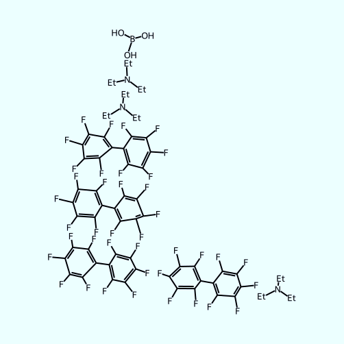 CCN(CC)CC.CCN(CC)CC.CCN(CC)CC.Fc1c(F)c(F)c(-c2c(F)c(F)c(F)c(F)c2F)c(F)c1F.Fc1c(F)c(F)c(-c2c(F)c(F)c(F)c(F)c2F)c(F)c1F.Fc1c(F)c(F)c(-c2c(F)c(F)c(F)c(F)c2F)c(F)c1F.Fc1c(F)c(F)c(-c2c(F)c(F)c(F)c(F)c2F)c(F)c1F.OB(O)O